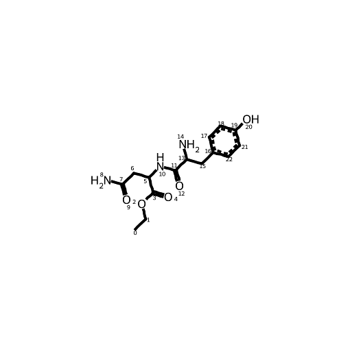 CCOC(=O)C(CC(N)=O)NC(=O)C(N)Cc1ccc(O)cc1